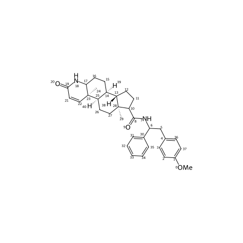 COc1ccc(CC(NC(=O)C2CC[C@H]3[C@@H]4CCC5NC(=O)C=C[C@]5(C)[C@@H]4CC[C@]23C)c2ccccc2)cc1